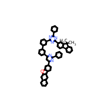 CC1(C)c2ccccc2-c2ccc(-c3nc(-c4ccccc4)nc(-c4cccc(-c5cccc(-c6cc(-c7ccc8c(c7)oc7cc9ccccc9cc78)nc(-c7ccccc7)n6)c5)c4)n3)cc21